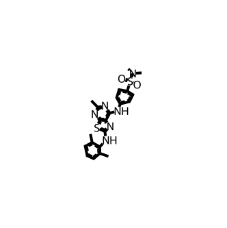 Cc1nc(Nc2ccc(S(=O)(=O)N(C)C)cc2)c2nc(Nc3c(C)cccc3C)sc2n1